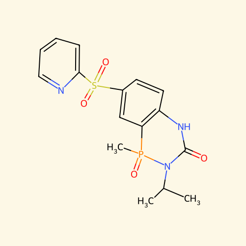 CC(C)N1C(=O)Nc2ccc(S(=O)(=O)c3ccccn3)cc2P1(C)=O